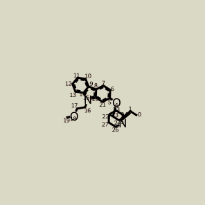 CC=C1C(Oc2ccc3c4ccccc4n(CCOC)c3c2)C2CCN1CC2